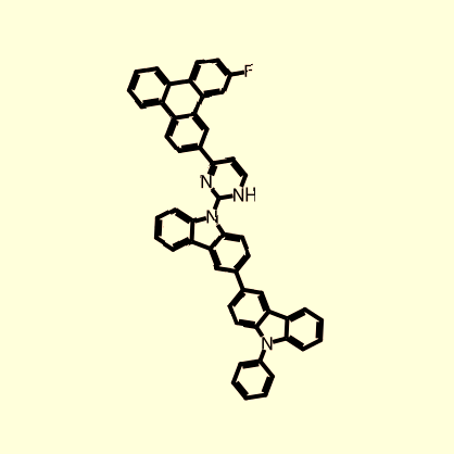 Fc1ccc2c3ccccc3c3ccc(C4=NC(n5c6ccccc6c6cc(-c7ccc8c(c7)c7ccccc7n8-c7ccccc7)ccc65)NC=C4)cc3c2c1